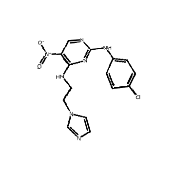 O=[N+]([O-])c1cnc(Nc2ccc(Cl)cc2)nc1NCCn1ccnc1